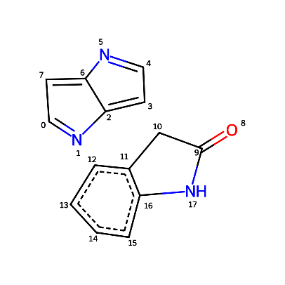 C1=NC2=CC=NC2=C1.O=C1Cc2ccccc2N1